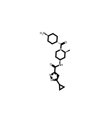 C[C@H]1C[C@@H](NC(=O)c2cc(C3CC3)on2)CCN1C(=O)[C@H]1CC[C@H](N)CC1